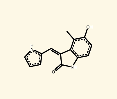 Cc1c(O)ccc2c1C(=Cc1ccc[nH]1)C(=O)N2